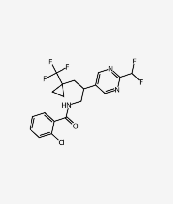 O=C(NCC(CC1(C(F)(F)F)CC1)c1cnc(C(F)F)nc1)c1ccccc1Cl